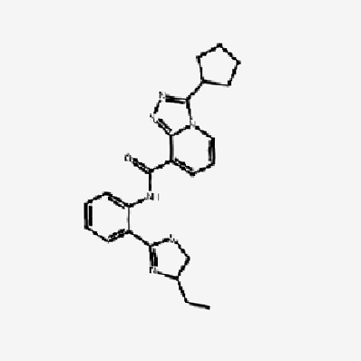 CCC1CSC(c2ccccc2NC(=O)c2cccn3c(C4CCCC4)nnc23)=N1